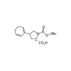 CC(C)(C)OC(=O)N1CC(C2=CCCC=C2)C[C@H]1C(=O)O